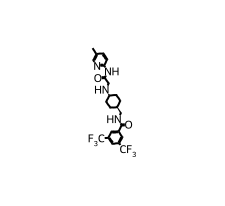 Cc1ccc(NC(=O)CN[C@H]2CC[C@H](CNC(=O)c3cc(C(F)(F)F)cc(C(F)(F)F)c3)CC2)nc1